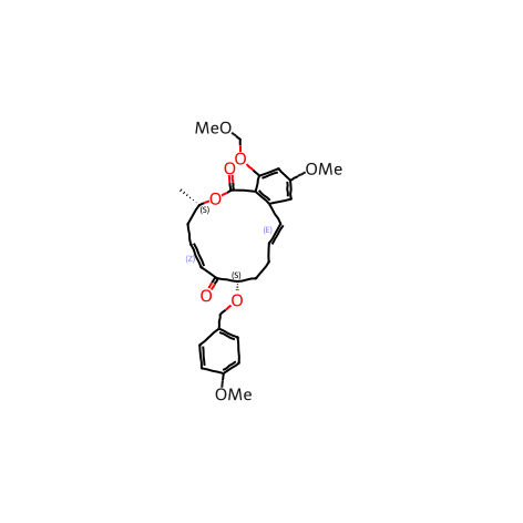 COCOc1cc(OC)cc2c1C(=O)O[C@@H](C)C/C=C\C(=O)[C@@H](OCc1ccc(OC)cc1)CC/C=C/2